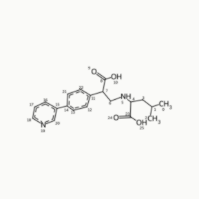 CC(C)CC(NCC(C(=O)O)c1ccc(-c2cccnc2)cc1)C(=O)O